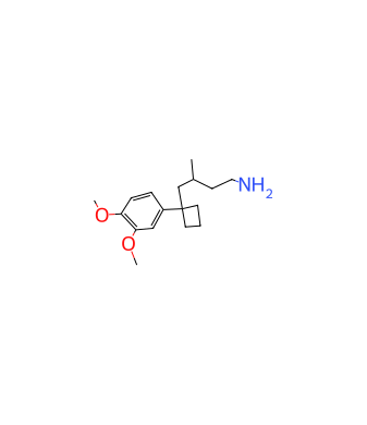 COc1ccc(C2(CC(C)CCN)CCC2)cc1OC